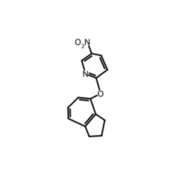 O=[N+]([O-])c1ccc(Oc2cccc3c2CCC3)nc1